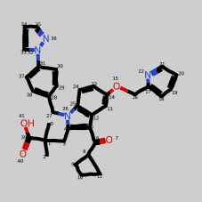 CC(C)(Cc1c(C(=O)C2CCC2)c2cc(OCc3ccccn3)ccc2n1Cc1ccc(-n2cccn2)cc1)C(=O)O